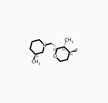 C[C@H]1CCCN(C[C@H]2OCC[C@H](F)[C@H]2C)C1